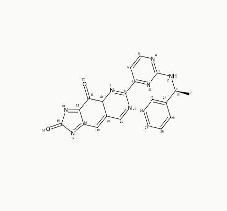 C[C@H](Nc1nccc(C2=NC3C(=O)C4=NC(=O)N=C4C=C3C=N2)n1)c1ccccc1